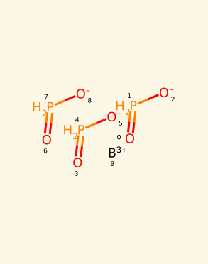 O=[PH2][O-].O=[PH2][O-].O=[PH2][O-].[B+3]